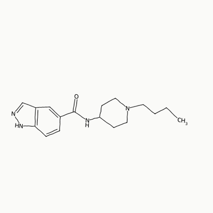 CCCCN1CCC(NC(=O)c2ccc3[nH]ncc3c2)CC1